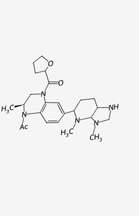 CC(=O)N1c2ccc(C3CCC4NCN(C)C4N3C)cc2N(C(=O)C2CCCO2)C[C@@H]1C